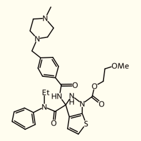 CCN(C(=O)C1(NC(=O)c2ccc(CN3CCN(C)CC3)cc2)NN(C(=O)OCCOC)c2sccc21)c1ccccc1